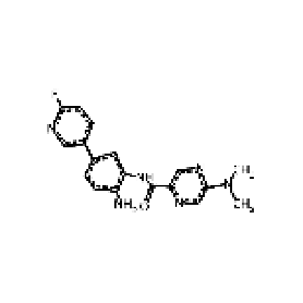 CN(C)c1cnc(C(=O)Nc2cc(-c3ccc(F)nc3)ccc2N)cn1